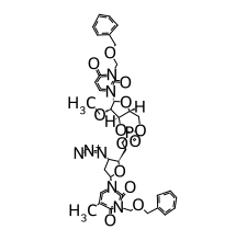 CO[C@@H]1[C@@H]2O[P@](=O)(OC[C@H]3O[C@@H](n4cc(C)c(=O)n(COCc5ccccc5)c4=O)C[C@@H]3N=[N+]=[N-])OC[C@H]2O[C@H]1n1ccc(=O)n(COCc2ccccc2)c1=O